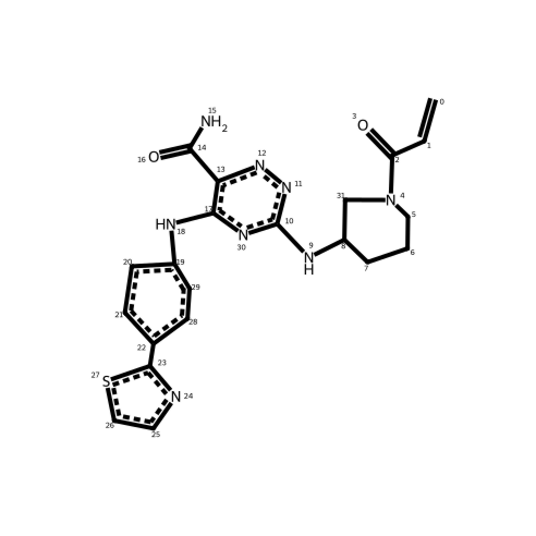 C=CC(=O)N1CCCC(Nc2nnc(C(N)=O)c(Nc3ccc(-c4nccs4)cc3)n2)C1